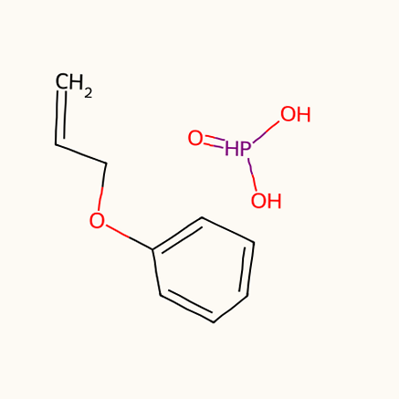 C=CCOc1ccccc1.O=[PH](O)O